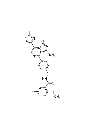 COc1ccc(F)cc1C(=O)NCc1ccc(-c2ncc(-c3cc[nH]n3)c3[nH]nc(N)c23)cc1